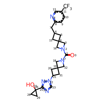 O=C(N1CC2(CC(Cc3ccc(C(F)(F)F)cn3)C2)C1)N1CC2(CC(n3cnc(C4(O)CC4)n3)C2)C1